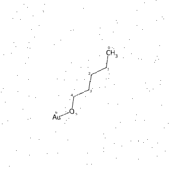 CCCCC[O][Au]